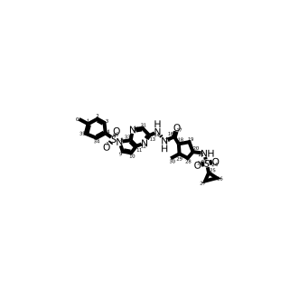 Cc1ccc(S(=O)(=O)n2ccc3nc(NNC(=O)C4CC(NS(=O)(=O)C5CC5)CC4C)cnc32)cc1